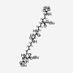 CC(C)(C)OC(=O)/N=C(/NCCCCCCNC(=O)CNC(=O)NCCCCN(CCCNC(=O)OC(C)(C)C)C(=O)OC(C)(C)C)NC(=O)OC(C)(C)C